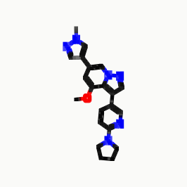 COc1cc(-c2cnn(C)c2)cn2ncc(-c3ccc(N4CCCC4)nc3)c12